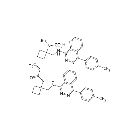 C=CC(=O)NC1(CNc2nnc(-c3ccc(C(F)(F)F)cc3)c3ccccc23)CCC1.CC(C)(C)N(C(=O)O)C1(CNc2nnc(-c3ccc(C(F)(F)F)cc3)c3ccccc23)CCC1